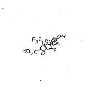 COc1c(N2C[C@@H](C)[C@@H](O)[C@@H](C)C2)c(F)cc2c(=O)c(C(=O)O)cn(CC(F)(F)F)c12